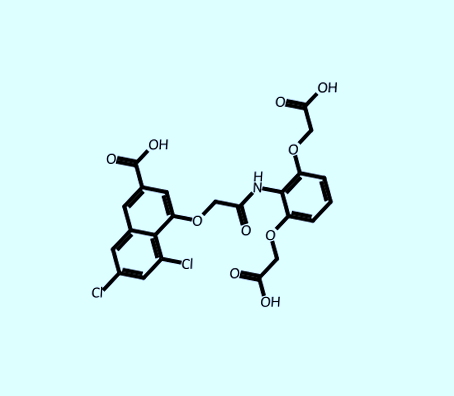 O=C(O)COc1cccc(OCC(=O)O)c1NC(=O)COc1cc(C(=O)O)cc2cc(Cl)cc(Cl)c12